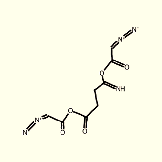 [N-]=[N+]=CC(=O)OC(=N)CCC(=O)OC(=O)C=[N+]=[N-]